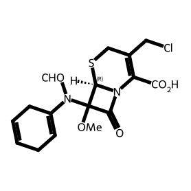 COC1(N(C=O)C2=CCC=CC2)C(=O)N2C(C(=O)O)=C(CCl)CS[C@@H]21